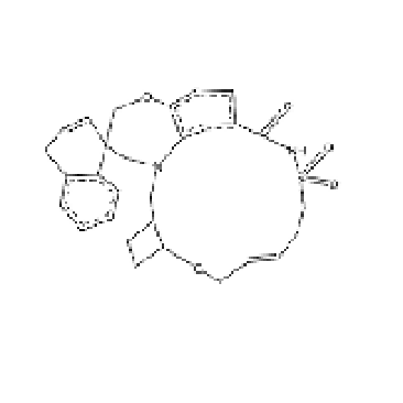 O=C1NS(=O)(=O)CC/C=C/CCC2CCC2CN2CC3(C=CCc4ccccc43)COc3ccc1cc32